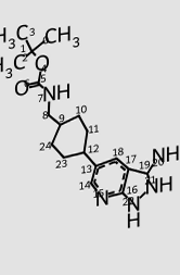 CC(C)(C)OC(=O)NCC1CCC(c2cnc3c(c2)C(N)NN3)CC1